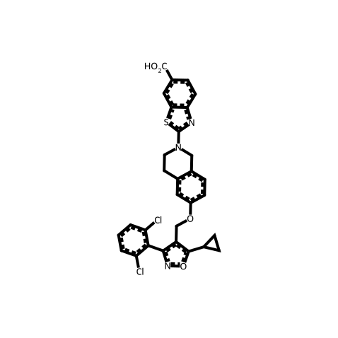 O=C(O)c1ccc2nc(N3CCc4cc(OCc5c(-c6c(Cl)cccc6Cl)noc5C5CC5)ccc4C3)sc2c1